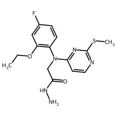 CCOc1cc(F)ccc1N(CC(=O)NN)c1ccnc(SC)n1